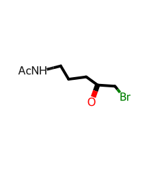 CC(=O)NCCCC(=O)CBr